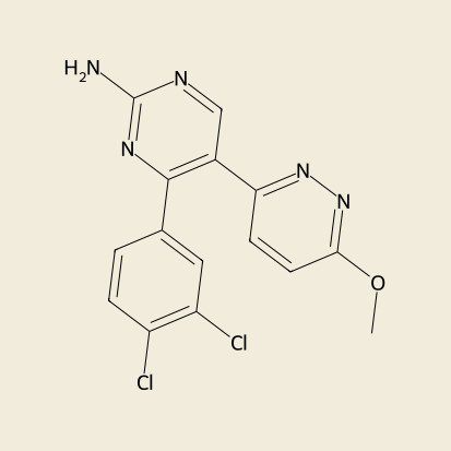 COc1ccc(-c2cnc(N)nc2-c2ccc(Cl)c(Cl)c2)nn1